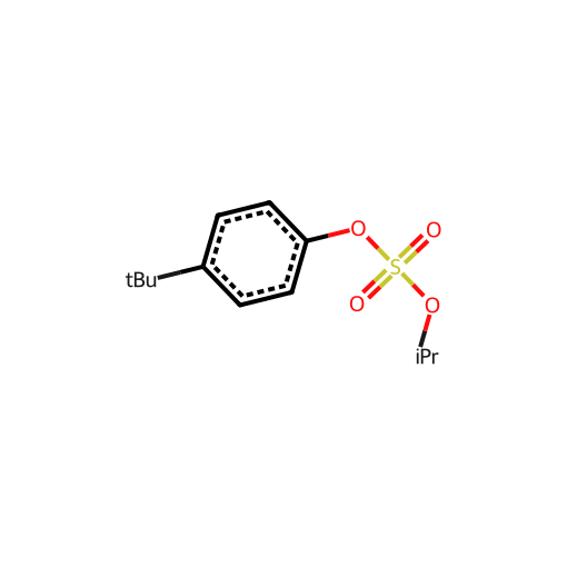 CC(C)OS(=O)(=O)Oc1ccc(C(C)(C)C)cc1